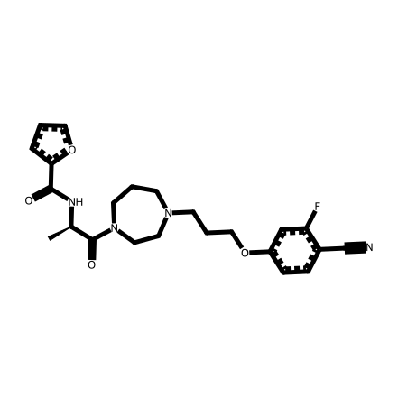 C[C@@H](NC(=O)c1ccco1)C(=O)N1CCCN(CCCOc2ccc(C#N)c(F)c2)CC1